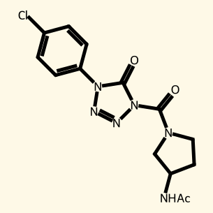 CC(=O)NC1CCN(C(=O)n2nnn(-c3ccc(Cl)cc3)c2=O)C1